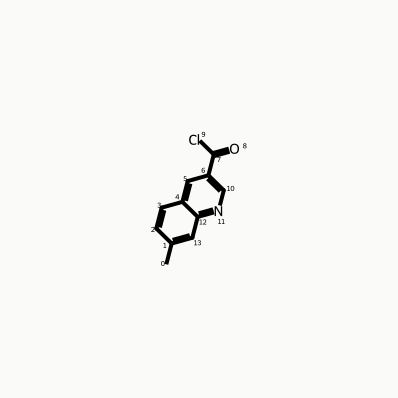 Cc1ccc2cc(C(=O)Cl)cnc2c1